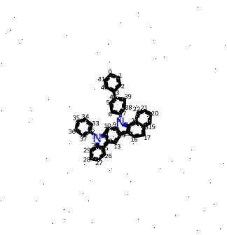 c1ccc(-c2ccc(-n3c4cc5c(cc4c4ccc6ccccc6c43)c3ccccc3n5-c3ccccc3)cc2)cc1